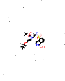 C[C@H](CN(CCCO[Si](C)(C)C(C)(C)C)C(=O)OC(C)(C)C)NS(=O)(=O)c1cccc2c(O)nccc12